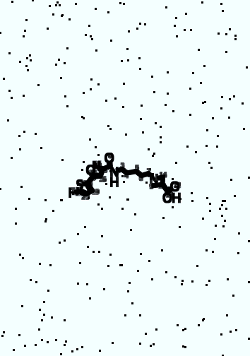 O=C(NCCCCCN1CC(C(=O)O)C1)c1cc(-c2ccc(F)s2)on1